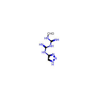 N=C(NC=O)NC(=N)Nc1c[nH]nn1